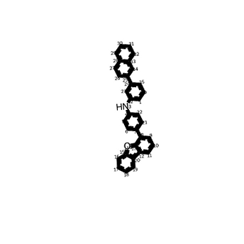 c1cc(Nc2ccc(-c3cccc4c3oc3ccccc34)cc2)cc(-c2ccc3ccccc3c2)c1